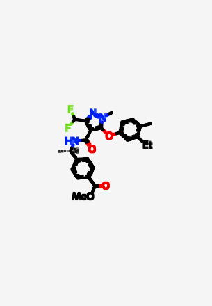 CCc1cc(Oc2c(C(=O)N[C@@H](C)c3ccc(C(=O)OC)cc3)c(C(F)F)nn2C)ccc1C